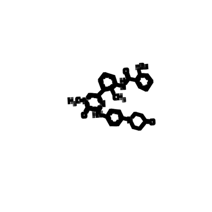 CCCCc1ccccc1C(=O)Nc1cccc(-c2cn(C)c(=O)c(Nc3ccc(N4CCC(=O)CC4)cc3)n2)c1C